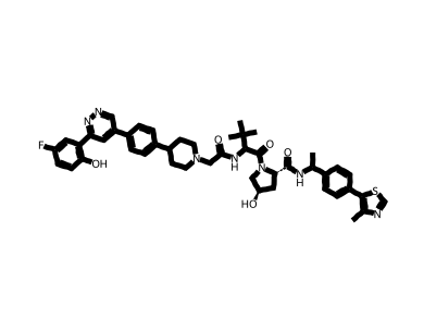 Cc1ncsc1-c1ccc(C(C)NC(=O)[C@@H]2C[C@@H](O)CN2C(=O)C(NC(=O)CN2CCC(c3ccc(-c4cnnc(-c5cc(F)ccc5O)c4)cc3)CC2)C(C)(C)C)cc1